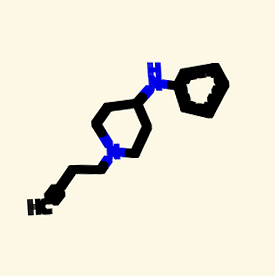 C#CCCN1CCC(Nc2ccccc2)CC1